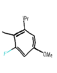 COc1cc(F)c(C)c(C(C)C)c1